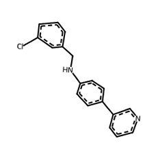 Clc1cccc(CNc2ccc(-c3cccnc3)cc2)c1